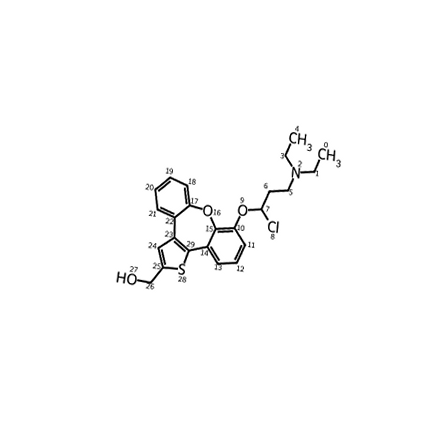 CCN(CC)CCC(Cl)Oc1cccc2c1Oc1ccccc1-c1cc(CO)sc1-2